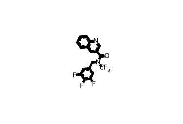 O=C(c1cnc2ccccc2c1)N(Cc1cc(F)c(F)c(F)c1)C(F)(F)F